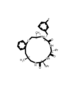 CCC[C@@H]1NC(=O)[C@@H](C(C)C)NC(=O)[C@@H](Cc2cccc(F)c2)N[C@@H](C)COc2ccccc2C[C@H](C)CNC1=O